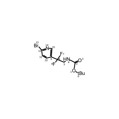 CC(C)(C)OC(=O)NCC(F)(F)c1ccc(Br)nc1